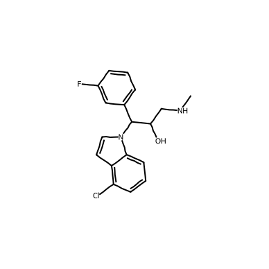 CNCC(O)C(c1cccc(F)c1)n1ccc2c(Cl)cccc21